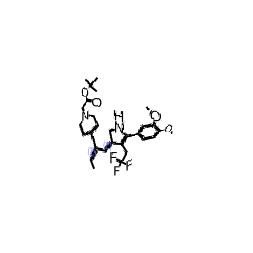 C/C=C(\C=C1/CNC(c2ccc(OC)c(OC)c2)=C1CC(F)(F)F)C1CCN(CC(=O)OC(C)(C)C)CC1